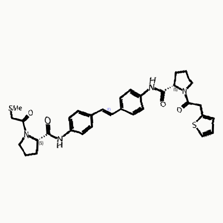 CSCC(=O)N1CCC[C@H]1C(=O)Nc1ccc(/C=C/c2ccc(NC(=O)[C@@H]3CCCN3C(=O)Cc3cccs3)cc2)cc1